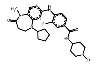 CCN1CCC(NC(=O)c2ccc(Nc3ncc4c(n3)N(C3CCCC3)CCC(=O)N4C)c(Cl)c2)CC1